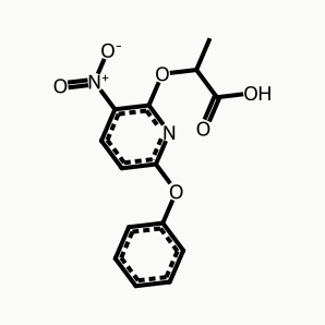 CC(Oc1nc(Oc2ccccc2)ccc1[N+](=O)[O-])C(=O)O